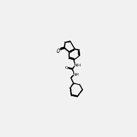 O=C(NCC1CCCCC1)Nc1ccc2c(c1)C(=O)CC2